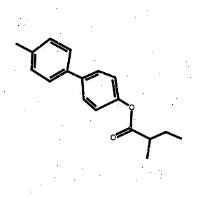 CCC(C)C(=O)Oc1ccc(-c2ccc(C)cc2)cc1